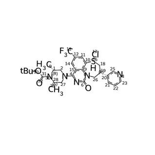 C[C@@H]1CN(c2nc(=O)n3c4c(cc(C(F)(F)F)cc24)[SH](Cl)C[C@H](c2cccnc2)C3)C[C@H](C)N1C(=O)OC(C)(C)C